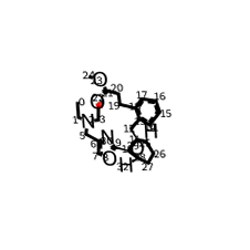 CCN(CC)Cc1coc([C@H]2[C@@H](Cc3ccccc3CCC(=O)OC)[C@@H]3CC[C@H]2O3)n1